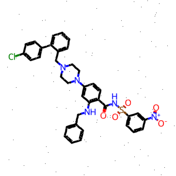 O=C(NS(=O)(=O)c1cccc([N+](=O)[O-])c1)c1ccc(N2CCN(Cc3ccccc3-c3ccc(Cl)cc3)CC2)cc1NCc1ccccc1